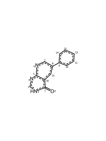 O=c1[nH]cnc2ncc(-c3ccccc3)cc12